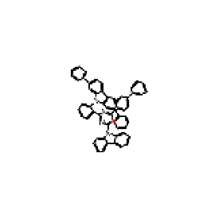 c1ccc(-c2ccc(-c3nc(-c4ccccc4-n4c5cc(-c6ccccc6)ccc5c5ccc(-c6ccccc6)cc54)nc(-n4c5ccccc5c5ccccc54)n3)cc2)cc1